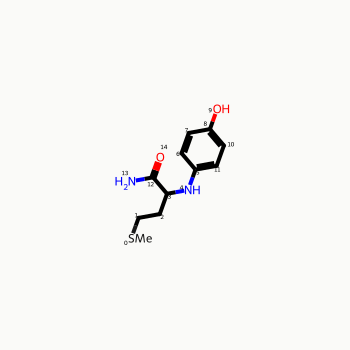 CSCCC(Nc1ccc(O)cc1)C(N)=O